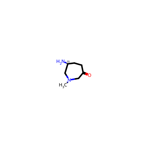 CN1CC(=O)CC[C@H](N)C1